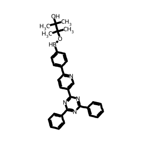 CC(C)(O)C(C)(C)OBc1ccc(-c2ccc(-c3nc(-c4ccccc4)nc(-c4ccccc4)n3)cn2)cc1